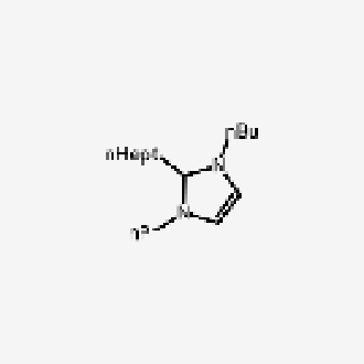 CCCCCCCC1N(CCC)C=CN1CCCC